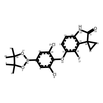 CC1(C)OB(c2cc(Cl)c(Oc3ccc4c(c3F)C3(CC3)C(=O)N4)c(Cl)c2)OC1(C)C